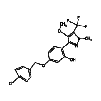 COc1c(-c2ccc(OCc3ccc(Cl)cc3)cc2O)nn(C)c1C(F)(F)F